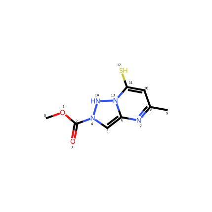 COC(=O)N1C=C2N=C(C)C=C(S)N2N1